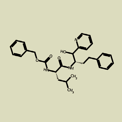 CC(C)C[C@H](NC(=O)OCc1ccccc1)C(=O)N[C@@H](CCc1ccccc1)C(O)c1ccccn1